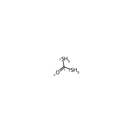 O=C([SH5])[SH5]